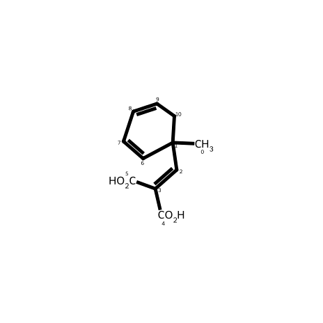 CC1(C=C(C(=O)O)C(=O)O)C=CC=CC1